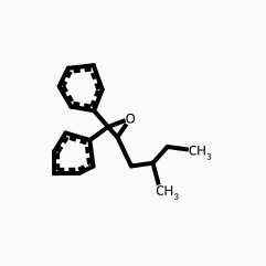 CCC(C)CC1OC1(c1ccccc1)c1ccccc1